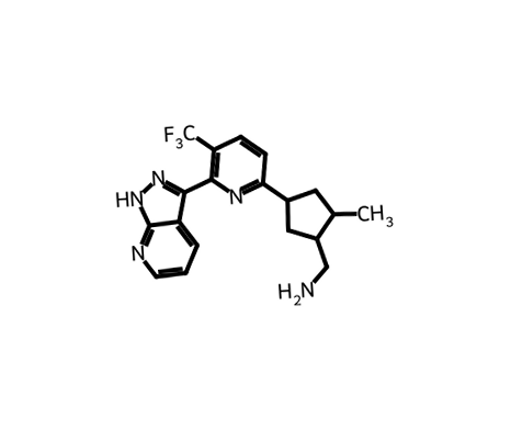 CC1CC(c2ccc(C(F)(F)F)c(-c3n[nH]c4ncccc34)n2)CC1CN